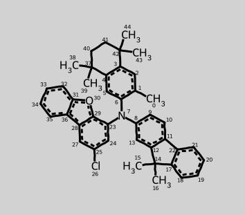 Cc1cc2c(cc1N(c1ccc3c(c1)C(C)(C)c1ccccc1-3)c1cc(Cl)cc3c1oc1ccccc13)C(C)(C)CCC2(C)C